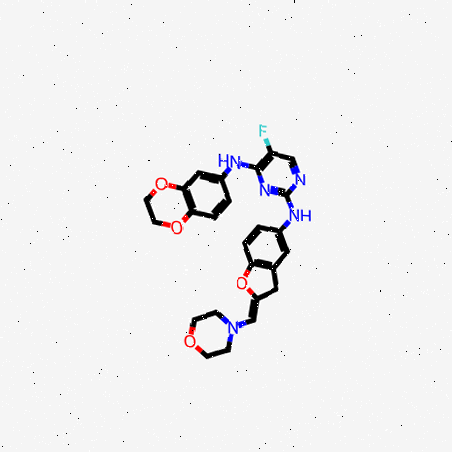 Fc1cnc(Nc2ccc3c(c2)CC(=CN2CCOCC2)O3)nc1Nc1ccc2c(c1)OCCO2